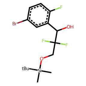 CC(C)(C)[Si](C)(C)OCC(F)(F)C(O)c1cc(Br)ccc1F